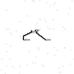 CCCCC/C=C\C/C=C\CCCCCCCC(=O)OC[C@H](CO)OC(=O)CCCCCCCCCCCCCCCCCCCCC